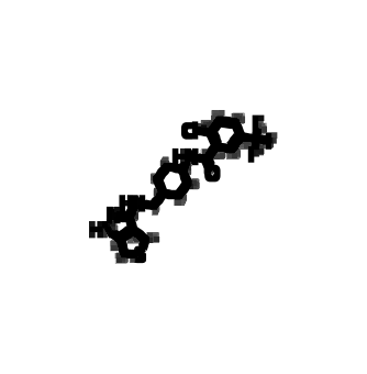 O=C(NC1CCC(CNc2n[nH]c3c2CSC3)CC1)c1cc(C(F)(F)F)ccc1Cl